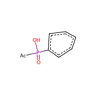 CC(=O)P(=O)(O)c1ccccc1